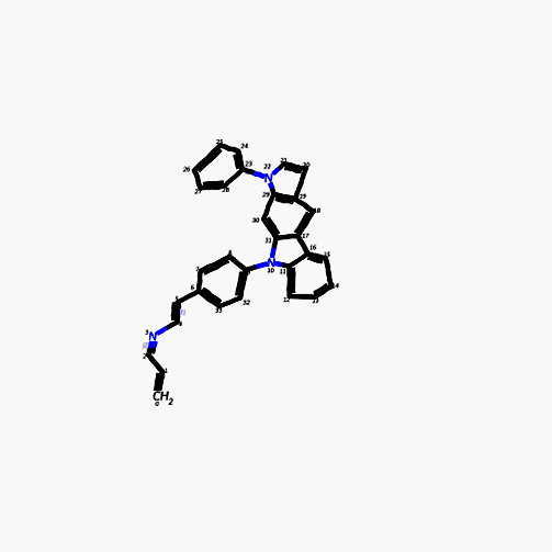 C=C/C=N\C=C\c1ccc(-n2c3ccccc3c3cc4ccn(-c5ccccc5)c4cc32)cc1